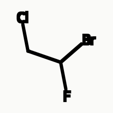 FC(Br)CCl